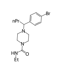 CCCC(c1ccc(Br)cc1)N1CCN(C(=O)NCC)CC1